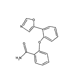 NC(=O)c1ccccc1Oc1ccccc1-c1cnco1